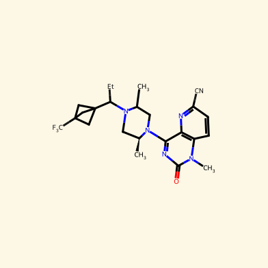 CCC(N1C[C@H](C)N(c2nc(=O)n(C)c3ccc(C#N)nc23)CC1C)C12CC(C(F)(F)F)(C1)C2